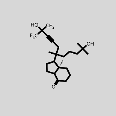 CC(C)(O)CCCC(C)(CC#CC(O)(C(F)(F)F)C(F)(F)F)C1CCC2C(=O)CCC[C@@]21C